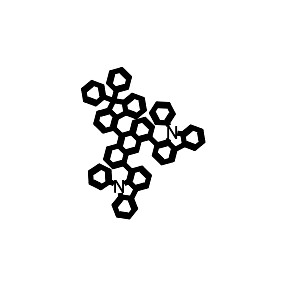 c1ccc(-n2c3ccccc3c3cccc(-c4cccc5c(-c6cccc7c6-c6ccccc6C7(c6ccccc6)c6ccccc6)c6cccc(-c7cccc8c9ccccc9n(-c9ccccc9)c78)c6cc45)c32)cc1